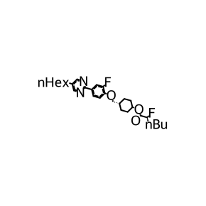 CCCCCCc1cnc(-c2ccc(OC[C@H]3CC[C@H](OC(=O)[C@@H](F)CCCC)CC3)c(F)c2)nc1